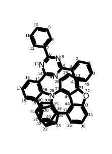 c1ccc(-c2nc(-c3ccccc3)nc(-c3cccc4c5ccccc5n(-c5cccc6oc7cccc(-c8ccccc8)c7c56)c34)n2)cc1